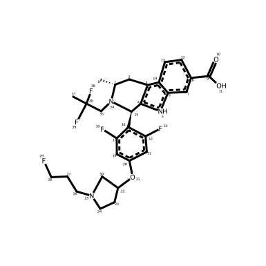 C[C@@H]1Cc2c([nH]c3cc(C(=O)O)ccc23)[C@@H](c2c(F)cc(OC3CCN(CCCF)C3)cc2F)N1CC(C)(F)F